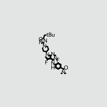 CN(C)C(=O)c1ccc(Nc2ncnc3c2c(F)cn3C2CCN(c3noc(CC(C)(C)C)n3)CC2)c(F)c1